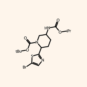 CC(C)OC(=O)NC1CCC(c2ncc(Br)s2)N(C(=O)OC(C)(C)C)C1